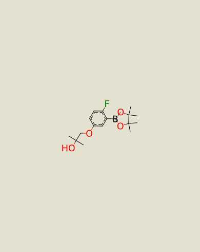 CC(C)(O)COc1ccc(F)c(B2OC(C)(C)C(C)(C)O2)c1